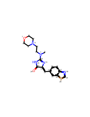 CN(CCN1CCOCC1)C1=NC(=Cc2ccc3ncsc3c2)C(=O)N1